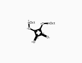 CCCCCCCCOc1c(OCCCCCCCC)c(=O)c1=O